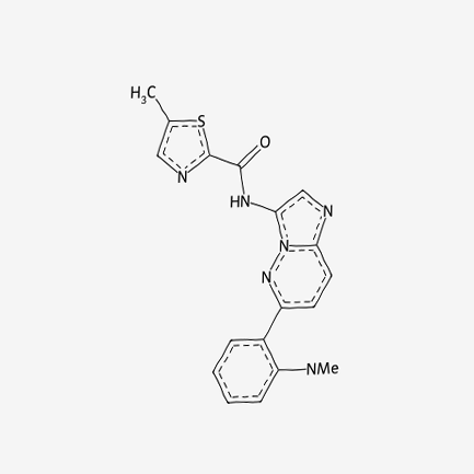 CNc1ccccc1-c1ccc2ncc(NC(=O)c3ncc(C)s3)n2n1